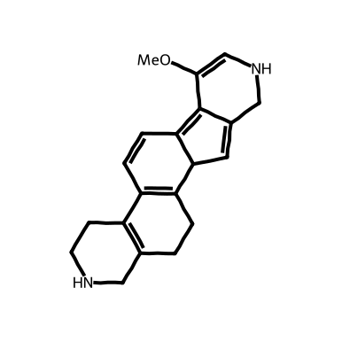 COC1=CNCC2=CC3C(=C21)C=CC1=C3CCC2=C1CCNC2